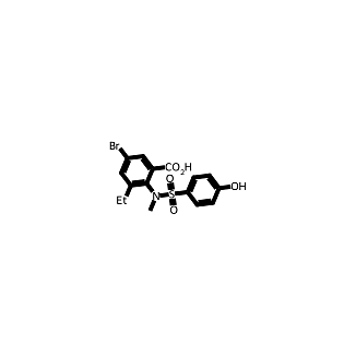 CCc1cc(Br)cc(C(=O)O)c1N(C)S(=O)(=O)c1ccc(O)cc1